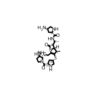 C[C@@H](NC(=O)[C@@H]1C[C@H](N)CN1)[C@H]1C(=O)N2C(CC(=O)O)=C(S[C@@H]3CN[C@H](C(=O)N4CC[C@@H](N)C4)C3)[C@H](C)[C@H]12